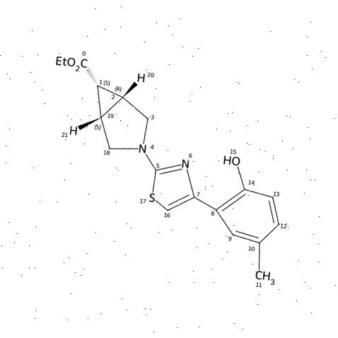 CCOC(=O)[C@@H]1[C@@H]2CN(c3nc(-c4cc(C)ccc4O)cs3)C[C@@H]21